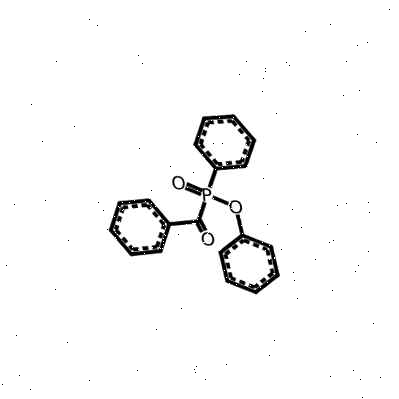 O=C(c1ccccc1)P(=O)(Oc1ccccc1)c1ccccc1